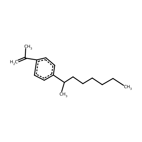 C=C(C)c1ccc(C(C)CCCCCC)cc1